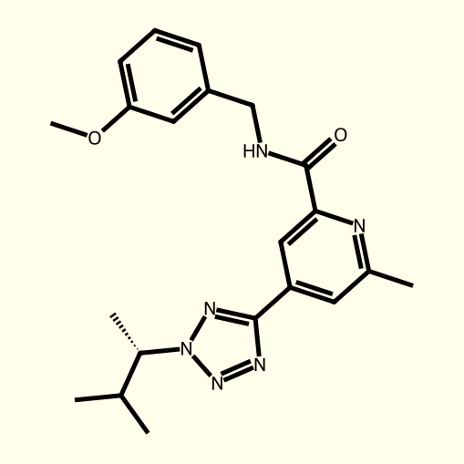 COc1cccc(CNC(=O)c2cc(-c3nnn([C@@H](C)C(C)C)n3)cc(C)n2)c1